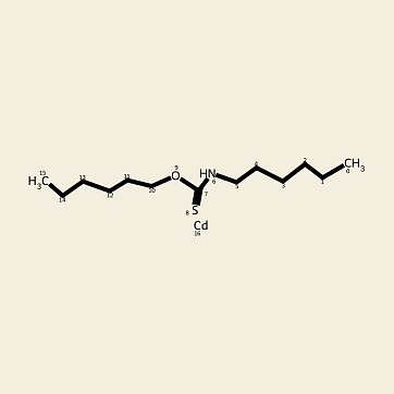 CCCCCCNC(=S)OCCCCCC.[Cd]